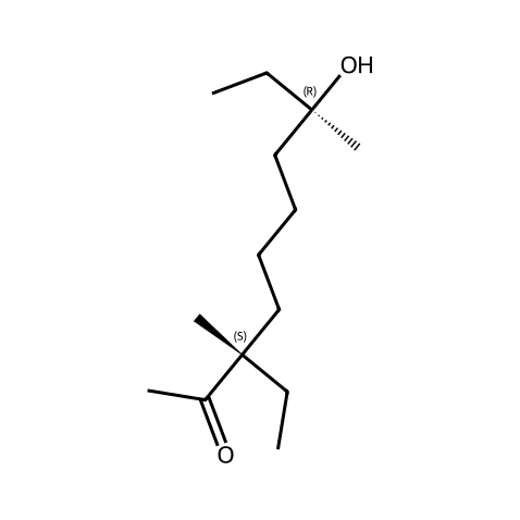 CC[C@@](C)(O)CCCC[C@](C)(CC)C(C)=O